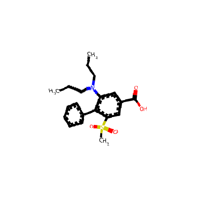 CCCN(CCC)c1cc(C(=O)O)cc(S(C)(=O)=O)c1-c1ccccc1